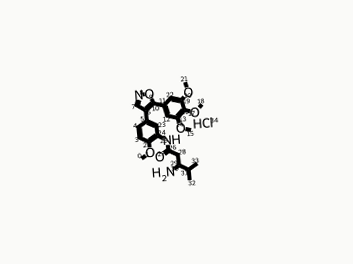 COc1ccc(-c2cnoc2-c2cc(OC)c(OC)c(OC)c2)cc1NC(=O)CC(N)C(C)C.Cl